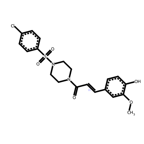 COc1cc(/C=C/C(=O)N2CCN(S(=O)(=O)c3ccc(Cl)cc3)CC2)ccc1O